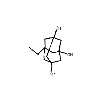 CCC12CC3(O)CC(O)(CC(O)(C3)C1)C2